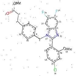 COC(=O)CCc1ccc(Cn2c(-c3ccc(Cl)cc3OC)nc3cc(F)c(F)cc32)cc1